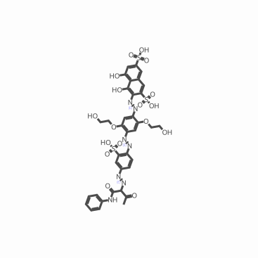 CC(=O)C(/N=N/c1ccc(/N=N/c2cc(OCCO)c(/N=N/c3c(S(=O)(=O)O)cc4cc(S(=O)(=O)O)cc(O)c4c3O)cc2OCCO)c(S(=O)(=O)O)c1)C(=O)Nc1ccccc1